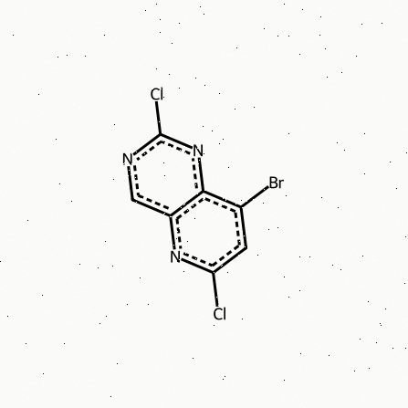 Clc1cc(Br)c2nc(Cl)ncc2n1